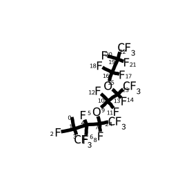 CC(F)(C(F)(F)F)C(F)(F)C(F)(OC(F)(F)C(F)(OC(F)(F)C(F)(F)C(F)(F)F)C(F)(F)F)C(F)(F)F